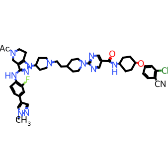 CC(=O)N1CCc2c(c(Nc3ccc(-c4cnn(C)c4)cc3F)nn2C2CCN(CCC3CCN(c4ncc(C(=O)NC5CCC(Oc6ccc(C#N)c(Cl)c6)CC5)cn4)CC3)CC2)C1